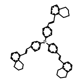 C(=C\c1cccc2c1CCCC2)/c1ccc(P(c2ccc(/C=C/c3cccc4c3CCCC4)cc2)c2ccc(/C=C/c3cccc4c3CCCC4)cc2)cc1